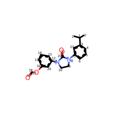 CC(C)c1cccc(N2CCN(c3cccc(OC=O)c3)C2=O)c1